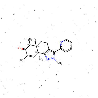 C[C@@H]1C(=O)C(C#N)=C[C@]2(C)c3nn(C)c(-c4ccccn4)c3CC[C@@H]12